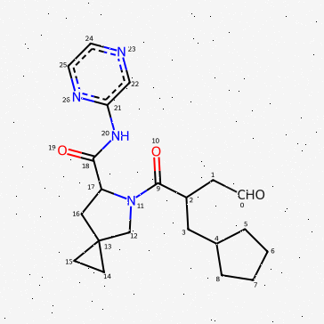 O=CCC(CC1CCCC1)C(=O)N1CC2(CC2)CC1C(=O)Nc1cnccn1